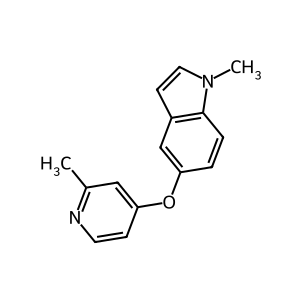 Cc1cc(Oc2ccc3c(ccn3C)c2)ccn1